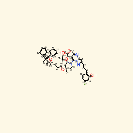 Cc1nc2cc(C=CCc3ccc(F)cc3O)nn2c(N2CCC(C)(OCCCCC(C)O[Si](c3ccccc3)(c3ccccc3)C(C)(C)C)CC2)c1C(OC(C)(C)C)C(=O)O